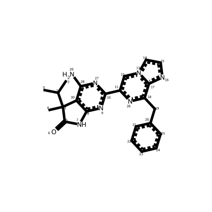 CC(C)C1(C)C(=O)Nc2nc(-c3cn4ccnc4c(Cc4ccccc4)n3)nc(N)c21